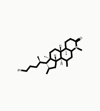 CC(C)CCC[C@@H](C)[C@H]1C(C)C[C@H]2[C@@H]3C(C)CC4N(C)C(=O)CC[C@]4(C)[C@H]3CC[C@]12C